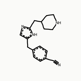 N#Cc1ccc(Cc2cnc(CC3CCNCC3)[nH]2)cc1